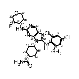 Bc1cc(Cl)cc(Cl)c1Nc1nc2cnc(N[C@@H]3CCOC[C@H]3F)nc2n1[C@H]1CC[C@@H](C(N)=O)CC1